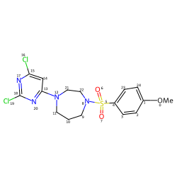 COc1ccc(S(=O)(=O)N2CCCN(c3cc(Cl)nc(Cl)n3)CC2)cc1